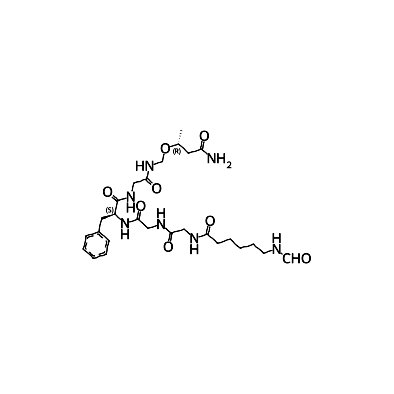 C[C@H](CC(N)=O)OCNC(=O)CNC(=O)[C@H](Cc1ccccc1)NC(=O)CNC(=O)CNC(=O)CCCCCNC=O